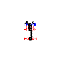 CCC(CC)Nc1ccc(NC(CC)CC)c2c1C(=O)c1c(O)cc(CCCCCc3cc(O)ccc3O)c(O)c1C2=O